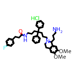 COc1cc2c(cc1OC)C(CCCN)N(CCCC(CCCNC(=O)CCc1ccc(F)cc1)(c1ccccc1)c1ccccc1)CC2.Cl